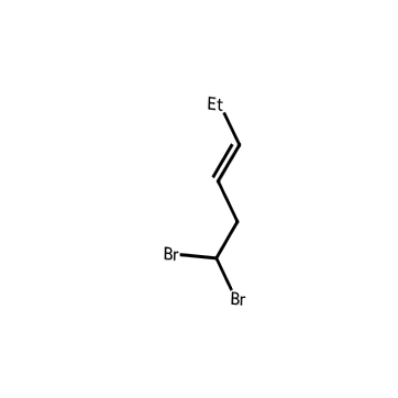 CCC=CCC(Br)Br